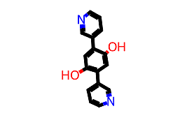 Oc1cc(-c2cccnc2)c(O)cc1-c1cccnc1